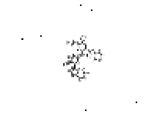 COc1cc(N2CC3(CCCN3C)C2)c(Nc2ncc(Cl)c(-c3cnn4ccccc34)n2)cc1N